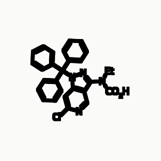 CCN(C(=O)O)c1nn(C(c2ccccc2)(c2ccccc2)c2ccccc2)c2cc(Cl)ncc12